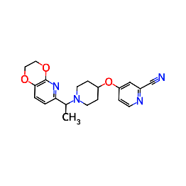 CC(c1ccc2c(n1)OCCO2)N1CCC(Oc2ccnc(C#N)c2)CC1